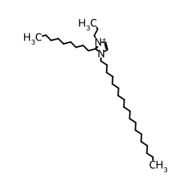 CCCCCCCCCCCCCCCCCCCn1cc[n+](CCC)c1CCCCCCCCC